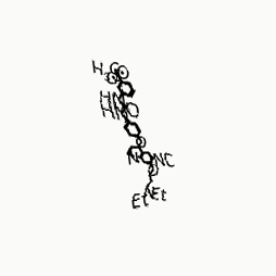 [C-]#[N+]c1cc2c(Oc3ccc(NC(=O)Nc4cccc(S(C)(=O)=O)c4)cc3)ccnc2cc1OCCCN(CC)CC